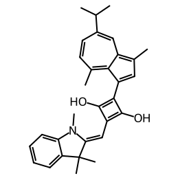 Cc1cc(C2=C(O)C(C=C3N(C)c4ccccc4C3(C)C)=C2O)c2c(C)ccc(C(C)C)cc1-2